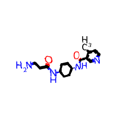 Cc1ccncc1C(=O)N[C@H]1CC[C@H](NC(=O)CCN)CC1